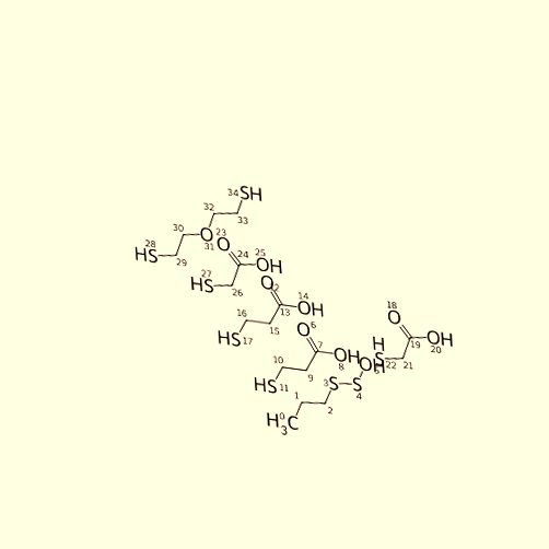 CCCSSO.O=C(O)CCS.O=C(O)CCS.O=C(O)CS.O=C(O)CS.SCCOCCS